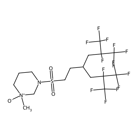 C[N+]1([O-])CCCN(S(=O)(=O)CCC(CC(F)(C(F)(F)F)C(F)(F)F)CC(F)(C(F)(F)F)C(F)(F)F)C1